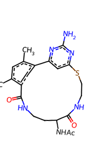 CC(=O)NC1CCNC(=O)c2cc(c(C)cc2C)-c2cc(nc(N)n2)SCCNC1=O